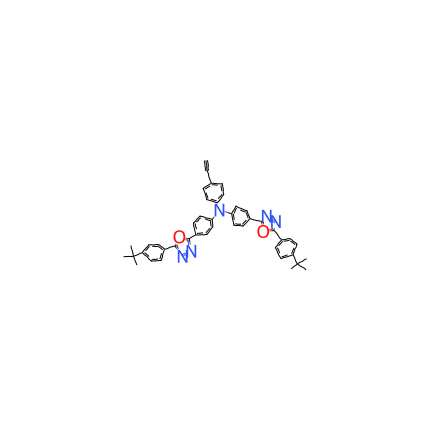 C#Cc1ccc(N(c2ccc(-c3nnc(-c4ccc(C(C)(C)C)cc4)o3)cc2)c2ccc(-c3nnc(-c4ccc(C(C)(C)C)cc4)o3)cc2)cc1